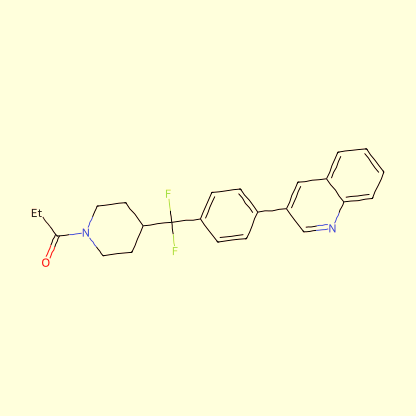 CCC(=O)N1CCC(C(F)(F)c2ccc(-c3cnc4ccccc4c3)cc2)CC1